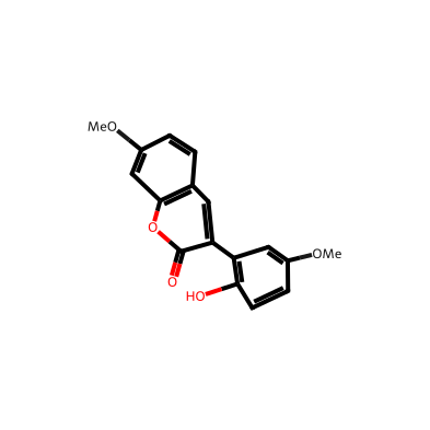 COc1ccc(O)c(-c2cc3ccc(OC)cc3oc2=O)c1